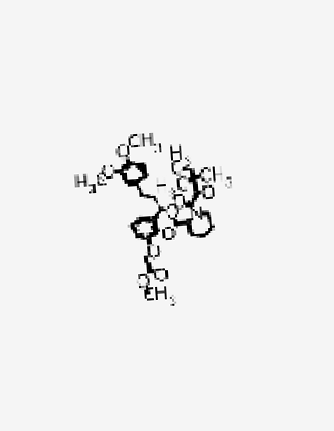 CCC(C)(C)C(=O)C(=O)N1CCCCC1C(=O)O[C@H](CCc1ccc(OC)c(OC)c1)c1cccc(OCC(=O)OC)c1